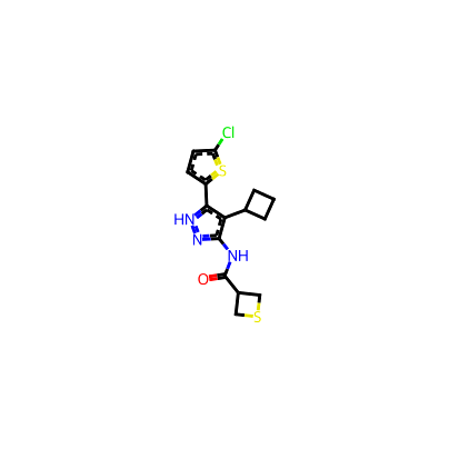 O=C(Nc1n[nH]c(-c2ccc(Cl)s2)c1C1CCC1)C1CSC1